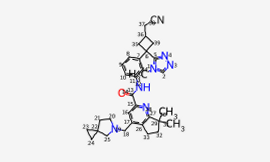 Cn1cnnc1C1(c2cccc(NC(=O)c3cc(CN4CCC5(CC5)C4)c4c(n3)C(C)(C)CC4)c2)CC(CC#N)C1